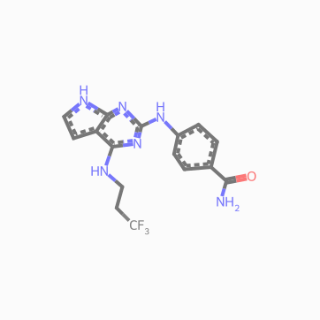 NC(=O)c1ccc(Nc2nc(NCCC(F)(F)F)c3cc[nH]c3n2)cc1